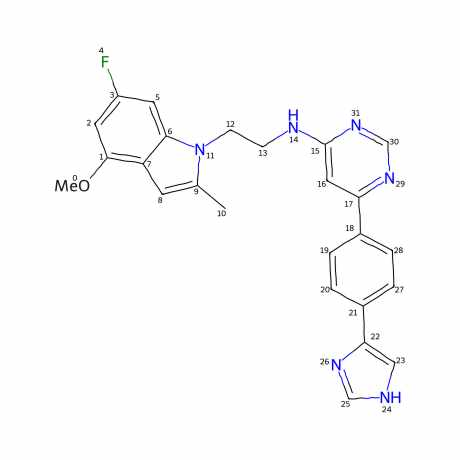 COc1cc(F)cc2c1cc(C)n2CCNc1cc(-c2ccc(-c3c[nH]cn3)cc2)ncn1